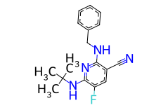 CC(C)(C)Nc1nc(NCc2ccccc2)c(C#N)cc1F